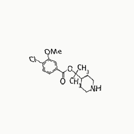 COc1cc(C(=O)OC(C)(C)C2CCNCC2)ccc1Cl